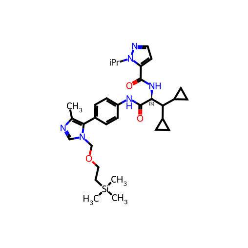 Cc1ncn(COCC[Si](C)(C)C)c1-c1ccc(NC(=O)[C@@H](NC(=O)c2ccnn2C(C)C)C(C2CC2)C2CC2)cc1